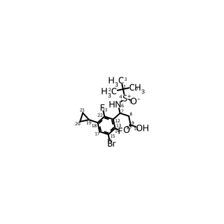 CC(C)(C)[S@@+]([O-])NC(CC(=O)O)c1c(F)c(Br)cc(C2CC2)c1F